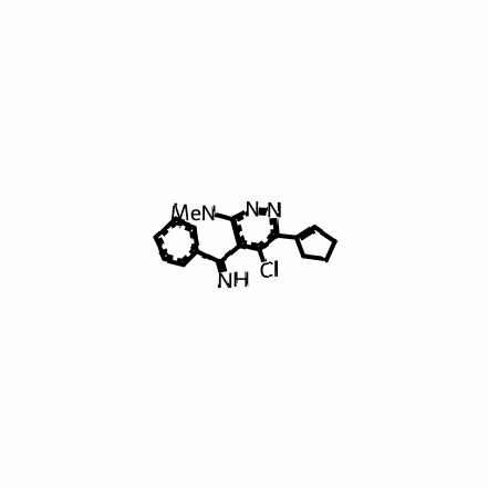 CNc1nnc(C2=CCCC2)c(Cl)c1C(=N)c1ccccc1